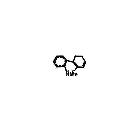 CNc1ccccc1C1=C(C)C=CCC1